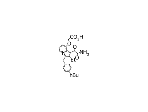 CCCCc1ccc(Cc2c(CC)c(C(=O)C(N)=O)c3c(OCC(=O)O)cccn23)cc1